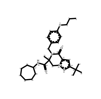 CCCOc1ccc(CN2C(=O)c3cc(C(C)(C)C)nn3CC2(C)C(=O)NC2CCCCCC2)cc1